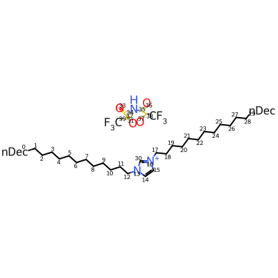 CCCCCCCCCCCCCCCCCCCCCCn1cc[n+](CCCCCCCCCCCCCCCCCCCCCC)c1.O=S(=O)(NS(=O)(=O)C(F)(F)F)C(F)(F)F